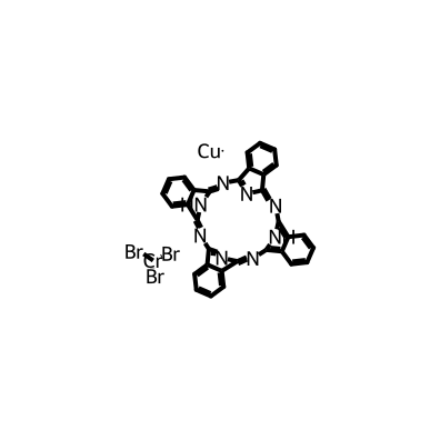 [Br][Cr]([Br])[Br].[Cu].c1ccc2c(c1)-c1nc-2nc2[nH]c(nc3nc(nc4[nH]c(n1)c1ccccc41)-c1ccccc1-3)c1ccccc21